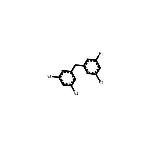 CCc1[c]c(Cc2[c]c(CC)cc(CC)c2)cc(CC)c1